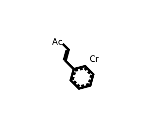 CC(=O)C=Cc1ccccc1.[Cr]